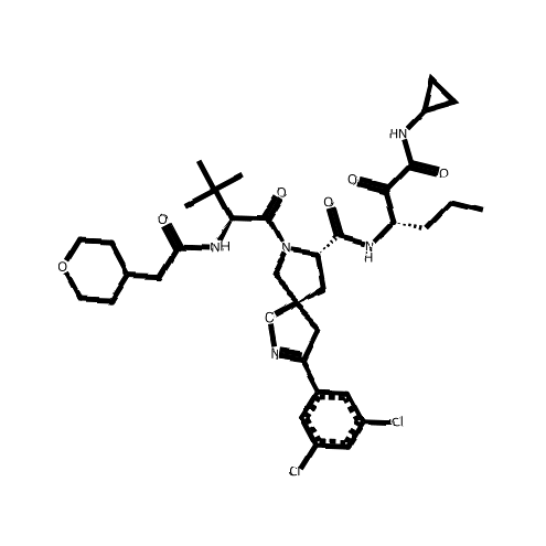 CCC[C@H](NC(=O)[C@@H]1C[C@]2(CC(c3cc(Cl)cc(Cl)c3)=NO2)CN1C(=O)[C@@H](NC(=O)CC1CCOCC1)C(C)(C)C)C(=O)C(=O)NC1CC1